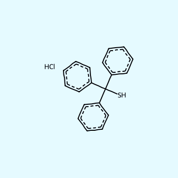 Cl.SC(c1ccccc1)(c1ccccc1)c1ccccc1